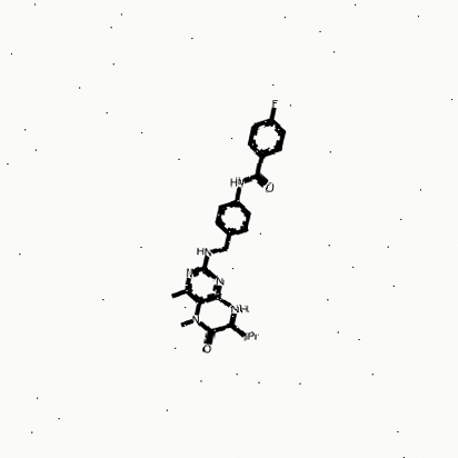 Cc1nc(NCc2ccc(NC(=O)c3ccc(F)cc3)cc2)nc2c1N(C)C(=O)C(C(C)C)N2